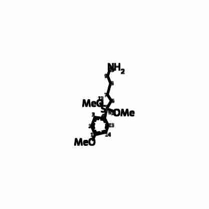 COc1ccc([Si](CCCCN)(OC)OC)cc1